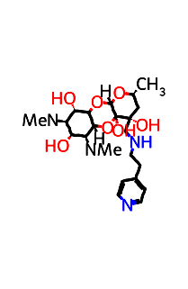 CN[C@@H]1[C@H](O)[C@H](NC)[C@H]2O[C@]3(O)[C@H](OC2[C@H]1O)O[C@H](C)C[C@@]3(O)CNCCc1ccncc1